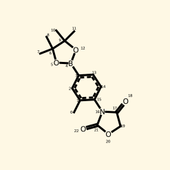 Cc1cc(B2OC(C)(C)C(C)(C)O2)ccc1N1C(=O)COC1=O